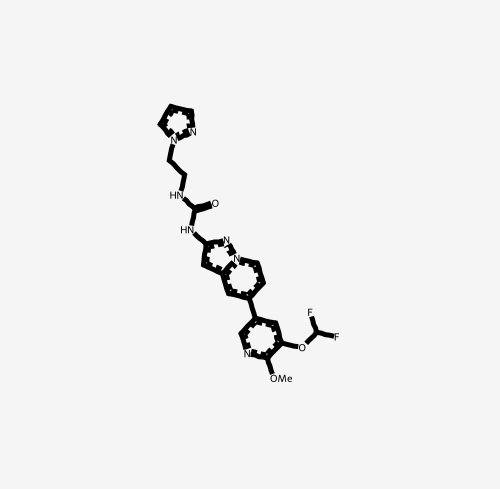 COc1ncc(-c2ccn3nc(NC(=O)NCCn4cccn4)cc3c2)cc1OC(F)F